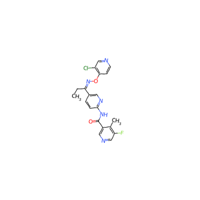 CCC(=NOc1ccncc1Cl)c1ccc(NC(=O)c2cncc(F)c2C)nc1